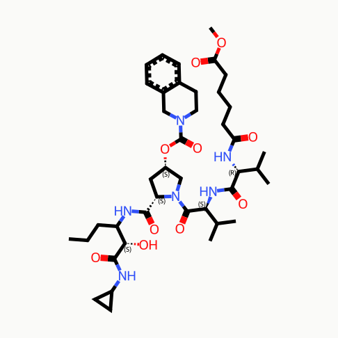 CCCC(NC(=O)[C@@H]1C[C@H](OC(=O)N2CCc3ccccc3C2)CN1C(=O)[C@@H](NC(=O)[C@H](NC(=O)CCCCC(=O)OC)C(C)C)C(C)C)[C@H](O)C(=O)NC1CC1